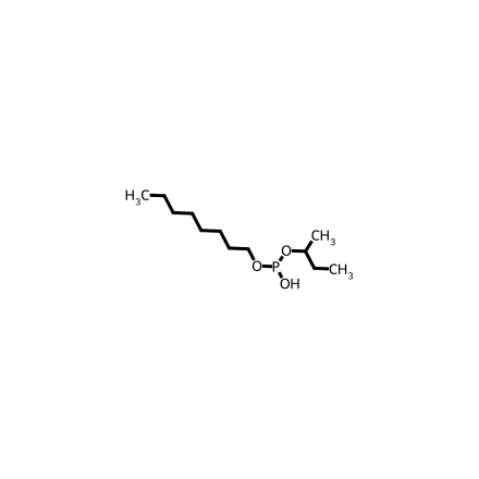 CCCCCCCCOP(O)OC(C)CC